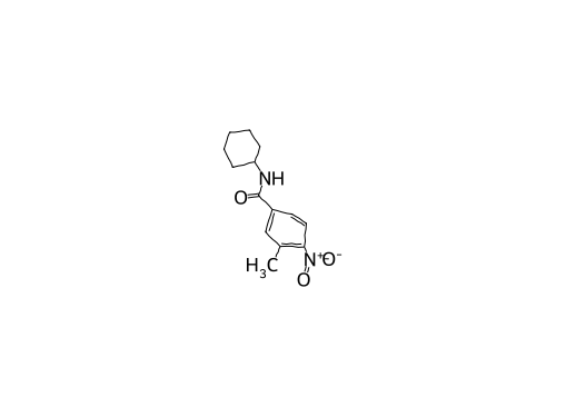 Cc1cc(C(=O)NC2CCCCC2)ccc1[N+](=O)[O-]